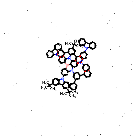 CC(C)(C)c1cc(-c2ccccc2)c(N2c3cc(-n4c5ccccc5c5ccccc54)ccc3B3c4ccc(-n5c6ccc(C(C)(C)C)cc6c6cc(C(C)(C)C)ccc65)cc4N(c4cc(-c5ccccc5)cc(-c5ccccc5)c4)c4cc(N(c5ccccc5)c5ccc(-n6c7ccccc7c7ccccc76)cc5)cc2c43)c(-c2ccccc2)c1